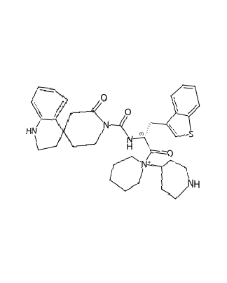 O=C1CC2(CCNc3ccccc32)CCN1C(=O)N[C@H](Cc1csc2ccccc12)C(=O)[N+]1(C2CCNCC2)CCCCC1